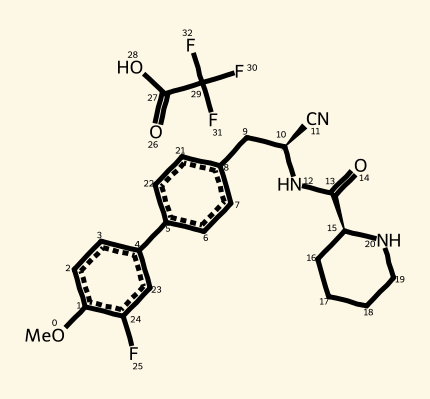 COc1ccc(-c2ccc(C[C@@H](C#N)NC(=O)[C@@H]3CCCCN3)cc2)cc1F.O=C(O)C(F)(F)F